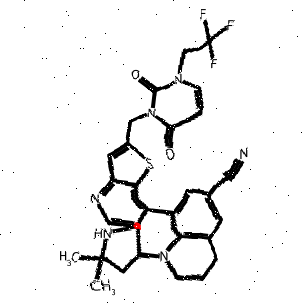 CC1(C)CC(N2CCCc3cc(C#N)cc(-c4ccnc5cc(Cn6c(=O)ccn(CC(F)(F)F)c6=O)sc45)c32)CN1